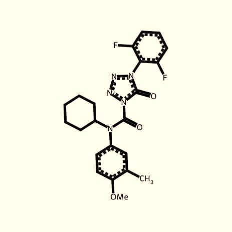 COc1ccc(N(C(=O)n2nnn(-c3c(F)cccc3F)c2=O)C2CCCCC2)cc1C